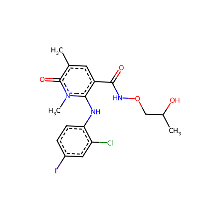 Cc1cc(C(=O)NOCC(C)O)c(Nc2ccc(I)cc2Cl)n(C)c1=O